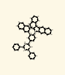 c1ccc(-c2nc(-c3ccccc3)nc(-c3ccc(-n4c5cc6ccccc6cc5c5c6ccccc6ccc54)c(-c4ccc5ccccc5c4)c3)n2)cc1